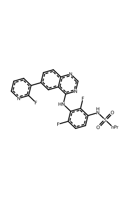 CCCS(=O)(=O)Nc1ccc(F)c(Nc2ncnc3ccc(-c4cccnc4F)cc23)c1F